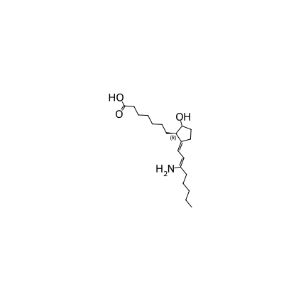 CCCCCC(N)=CC=C1CCC(O)[C@@H]1CCCCCCC(=O)O